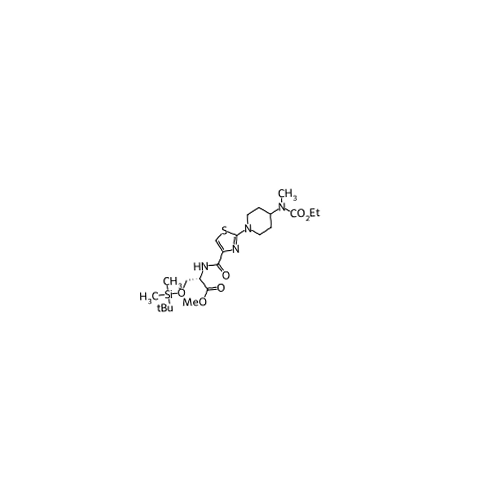 CCOC(=O)N(C)C1CCN(c2nc(C(=O)N[C@@H](CO[Si](C)(C)C(C)(C)C)C(=O)OC)cs2)CC1